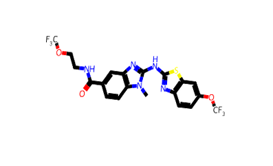 Cn1c(Nc2nc3ccc(OC(F)(F)F)cc3s2)nc2cc(C(=O)NCCOC(F)(F)F)ccc21